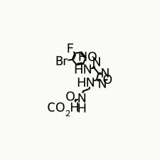 O=C(O)C(=O)NCCNc1nonc1/C(=N/O)Nc1ccc(F)c(Br)c1